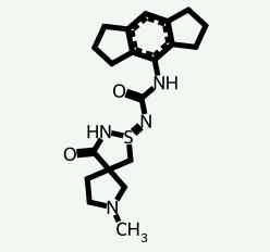 CN1CCC2(C1)C/S(=N/C(=O)Nc1c3c(cc4c1CCC4)CCC3)NC2=O